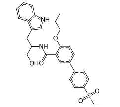 CCCOc1ccc(-c2ccc(S(=O)(=O)CC)cc2)cc1C(=O)NC(CO)Cc1c[nH]c2ccccc12